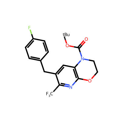 CC(C)(C)OC(=O)N1CCOc2nc(C(F)(F)F)c(Cc3ccc(F)cc3)cc21